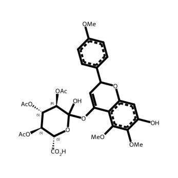 COc1ccc(C2C=C(OC3(O)O[C@H](C(=O)O)[C@@H](OC(C)=O)[C@H](OC(C)=O)[C@H]3OC(C)=O)c3c(cc(O)c(OC)c3OC)O2)cc1